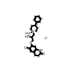 C[N+]1(CC(O)COc2cc3c(cc2Cl)CCC(=O)N3)CCC(c2ccccc2)CC1.[I-]